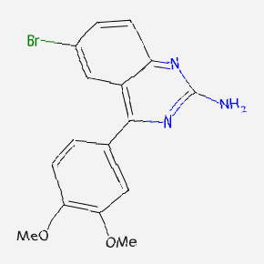 COc1ccc(-c2nc(N)nc3ccc(Br)cc23)cc1OC